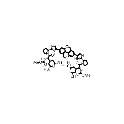 COC(=O)N[C@H](C(=O)N1CCC[C@H]1c1ncc(-c2cc3c4c(c2)OCc2cc(-c5cnc([C@@H]6CCCN6C(=O)[C@@H](NC(=O)OC)C6C[C@@H](C)O[C@H](C)C6)[nH]5)cc(c2-4)OC3)[nH]1)C1C[C@@H](C)O[C@H](C)C1